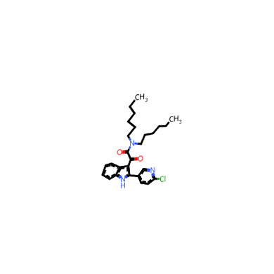 CCCCCCN(CCCCCC)C(=O)C(=O)c1c(-c2ccc(Cl)nc2)[nH]c2ccccc12